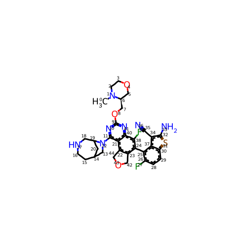 CN1CCOC[C@H]1COc1nc(N2CC3CCNCC2C3)c2c3c(c(-c4c(F)ccc5sc(N)c(C#N)c45)c(F)c2n1)COC3